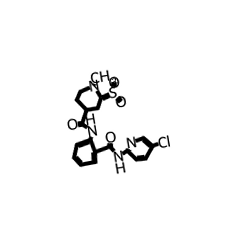 CN1CCC(C(=O)Nc2ccccc2C(=O)Nc2ccc(Cl)cn2)CC1=S(=O)=O